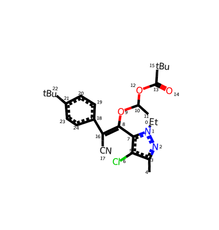 CCn1nc(C)c(Cl)c1/C(OC(C)OC(=O)C(C)(C)C)=C(\C#N)c1ccc(C(C)(C)C)cc1